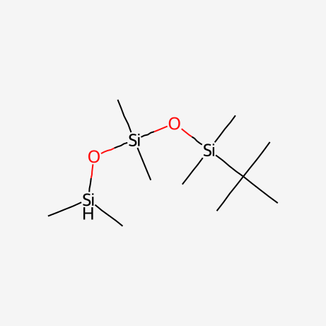 C[SiH](C)O[Si](C)(C)O[Si](C)(C)C(C)(C)C